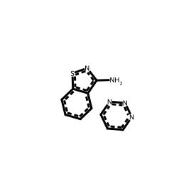 Nc1nsc2ccccc12.c1cnnnc1